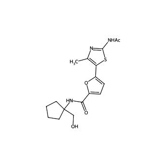 CC(=O)Nc1nc(C)c(-c2ccc(C(=O)NC3(CO)CCCC3)o2)s1